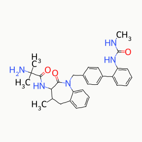 CNC(=O)Nc1ccccc1-c1ccc(CN2C(=O)C(NC(=O)C(C)(C)N)C(C)Cc3ccccc32)cc1